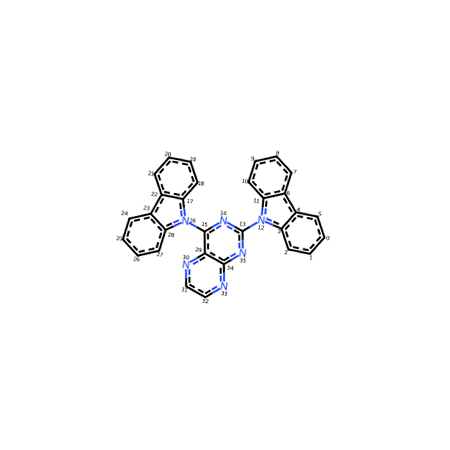 c1ccc2c(c1)c1ccccc1n2-c1nc(-n2c3ccccc3c3ccccc32)c2nccnc2n1